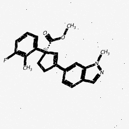 COC(=O)[C@]1(c2cccc(F)c2C)C=C(c2ccc3cnn(C)c3c2)CC1